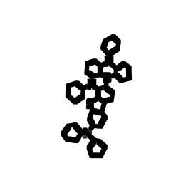 c1ccc(N(c2ccccc2)c2ccc3c(c2)sc2c4c(ccc23)B2c3ccccc3N(c3ccccc3)c3cccc(c32)N4c2ccccc2)cc1